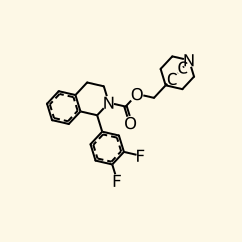 O=C(OCC12CCN(CC1)CC2)N1CCc2ccccc2C1c1ccc(F)c(F)c1